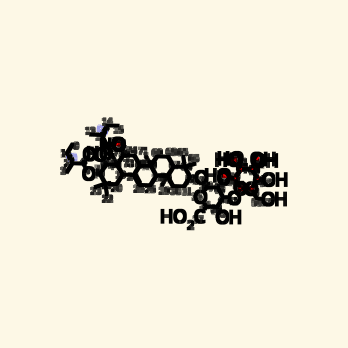 C/C=C(/C)C(=O)O[C@H]1[C@H](OC(=O)/C(C)=C\C)[C@@]2(CO)C(CC1(C)C)C1=CCC3[C@@]4(C)CC[C@H](O[C@@H]5OC(C(=O)O)[C@@H](O)C(OC6OC[C@@H](O)[C@@H](O)C6O)[C@@H]5O[C@@H]5OC(CO)[C@H](O)C(O)[C@@H]5O)C(C)(C)C4CC[C@@]3(C)[C@]1(C)C[C@H]2O